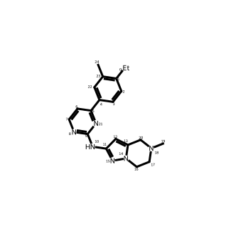 CCc1ccc(-c2ccnc(Nc3cc4n(n3)CCN(C)C4)n2)cc1C